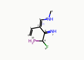 C=C/C(=C/NC)C(=N)C(F)P